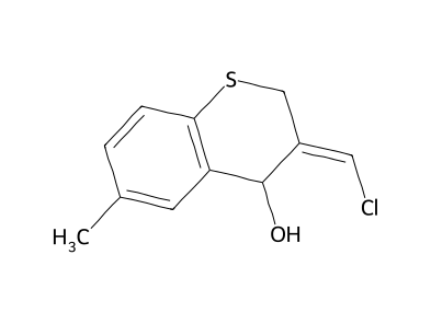 Cc1ccc2c(c1)C(O)C(=CCl)CS2